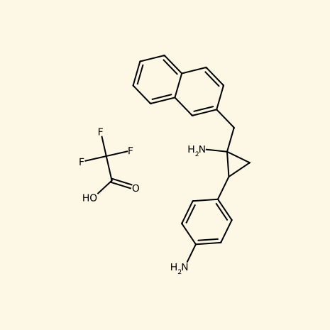 Nc1ccc(C2CC2(N)Cc2ccc3ccccc3c2)cc1.O=C(O)C(F)(F)F